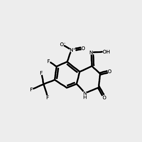 O=C1Nc2cc(C(F)(F)F)c(F)c([N+](=O)[O-])c2/C(=N/O)C1=O